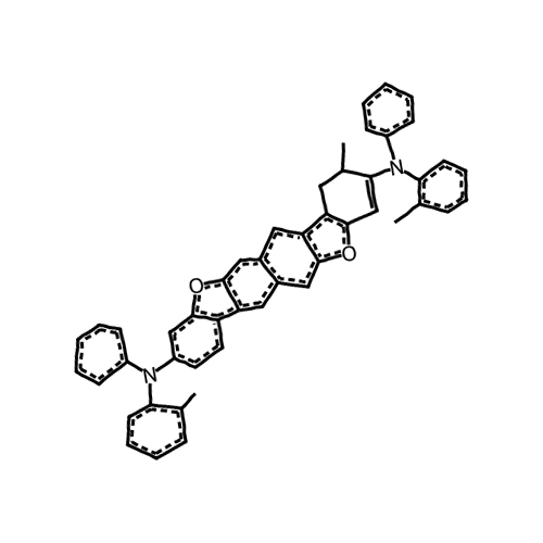 Cc1ccccc1N(C1=Cc2oc3cc4cc5c(cc4cc3c2CC1C)oc1cc(N(c2ccccc2)c2ccccc2C)ccc15)c1ccccc1